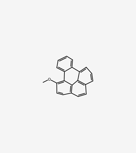 COc1ccc2ccc3cccc4c5ccccc5c1c2c34